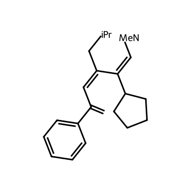 C=C(/C=C(CC(C)C)\C(=C/NC)C1CCCC1)c1ccccc1